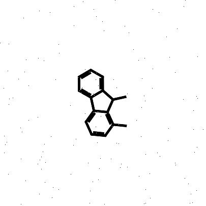 Cc1cccc2c1C(C)c1ccccc1-2